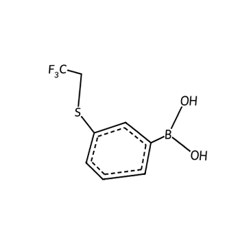 OB(O)c1cccc(SCC(F)(F)F)c1